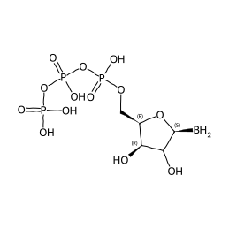 B[C@@H]1O[C@H](COP(=O)(O)OP(=O)(O)OP(=O)(O)O)[C@H](O)C1O